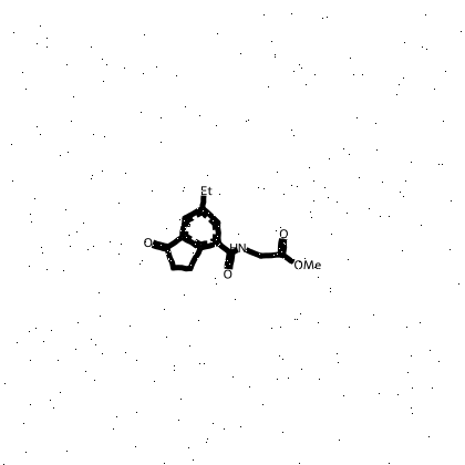 CCc1cc2c(c(C(=O)NCC(=O)OC)c1)CCC2=O